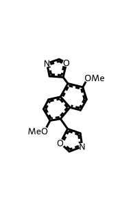 COc1ccc2c(-c3cnco3)c(OC)ccc2c1-c1cnco1